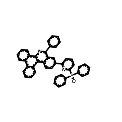 O=P(c1ccccc1)(c1ccccc1)c1cccc(-c2ccc3c(c2)c(-c2ccccc2)nc2c4ccccc4c4ccccc4c32)n1